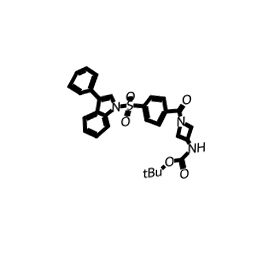 CC(C)(C)OC(=O)NC1CN(C(=O)c2ccc(S(=O)(=O)n3cc(-c4ccccc4)c4ccccc43)cc2)C1